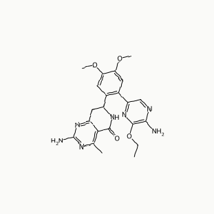 CCOc1nc(-c2cc(OC)c(OC)cc2C2Cc3nc(N)nc(C)c3C(=O)N2)cnc1N